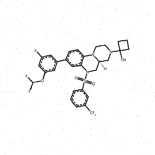 N#CC1(N2CCN3c4ccc(-c5cc(F)cc(OC(F)F)c5)cc4N(S(=O)(=O)c4cccc(C(F)(F)F)c4)C[C@@H]3C2)CCC1